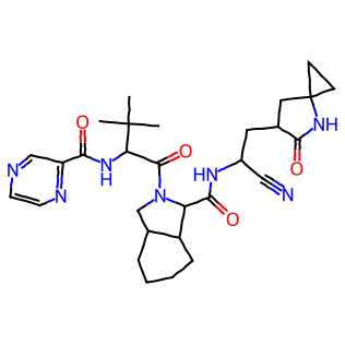 CC(C)(C)C(NC(=O)c1cnccn1)C(=O)N1CC2CCCCC2C1C(=O)NC(C#N)CC1CC2(CC2)NC1=O